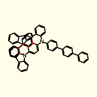 c1ccc(-c2ccc(-c3ccc(N(c4ccc5c(c4)C4(c6ccccc6-c6ccccc64)c4cccc6c7ccccc7n-5c46)c4ccccc4-c4ccc(-c5ccccc5)cc4)cc3)cc2)cc1